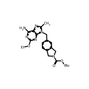 CCOc1nc(N)c2nc(C)n(Cc3ccc4c(c3)CN(C(=O)OC(C)(C)C)C4)c2n1